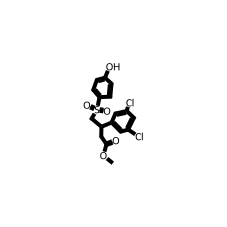 COC(=O)CC(CS(=O)(=O)c1ccc(O)cc1)c1cc(Cl)cc(Cl)c1